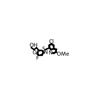 COc1cnc2c(-c3nc4cc(F)c5c(c4s3)CC(CO)O5)cc(Cl)cc2c1